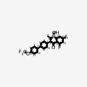 Cc1c(-c2ccc(-c3ccc(OC(F)(F)F)cc3)cc2)c(=O)c2c(F)cc(F)cc2n1O